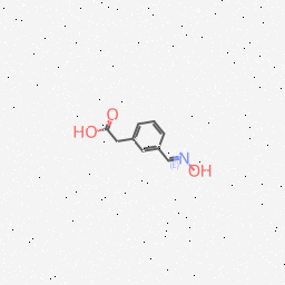 O=C(O)Cc1cccc(/C=N/O)c1